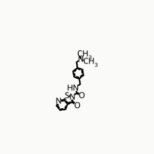 CN(C)Cc1ccc(CNC(=O)n2sc3ncccc3c2=O)cc1